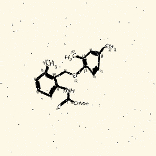 COC(=O)Nc1cccc(C)c1COc1ccc(C)cc1C